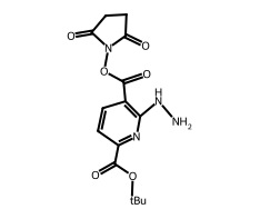 CC(C)(C)OC(=O)c1ccc(C(=O)ON2C(=O)CCC2=O)c(NN)n1